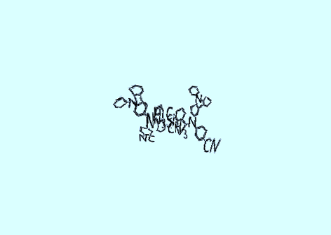 [C-]#[N+]c1ccc(N(c2ccc3c(c2)c2ccccc2n3-c2ccccc2)c2cccc3c([Si](C)(C)c4cccc5c(N(c6ccc(C#N)cc6)c6ccc7c(c6)c6ccccc6n7-c6ccccc6)cccc45)cccc23)cc1